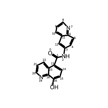 O=C(Nc1ccc2ncccc2c1)c1ccc(O)c2ncccc12